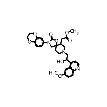 COC(=O)CC1CN(CC(O)c2ccnc3ccc(OC)cc23)CCC12CN(c1ccc3c(c1)OCCO3)C(=O)O2